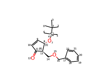 CC(C)(C)[Si](C)(C)O[C@H]1C=CC(=O)[C@@H]1COCc1ccccc1